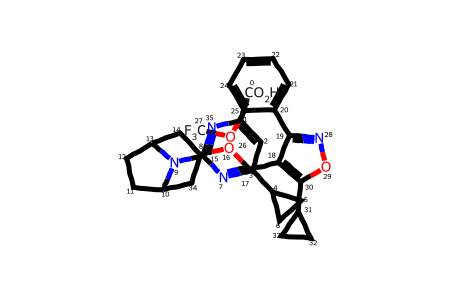 O=C(O)c1cc(C2CC2)nc(N2C3CCC2CC(OCc2c(-c4ccccc4OC(F)(F)F)noc2C2CC2)C3)n1